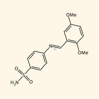 COc1ccc(OC)c(/C=N/c2ccc(S(N)(=O)=O)cc2)c1